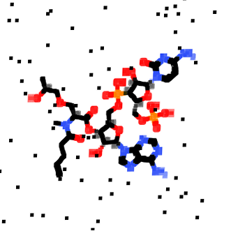 C=CCCC(=O)N(C)[C@@H](COC[C@H](C)O)C(=O)O[C@H]1[C@@H](O)[C@H](n2cnc3c(N)ncnc32)O[C@@H]1COP(=O)(O)[C@H]1[C@@H](O)[C@H](n2ccc(N)nc2=O)O[C@@H]1COP(=O)(O)O